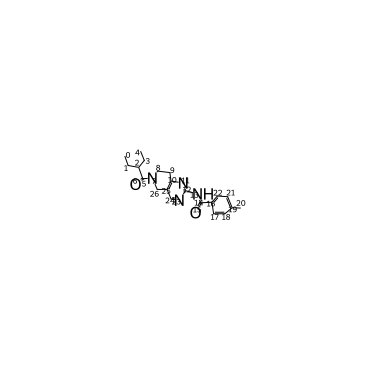 CCC(CC)C(=O)N1CCc2nc(NC(=O)c3ccc(C)cc3)ncc2C1